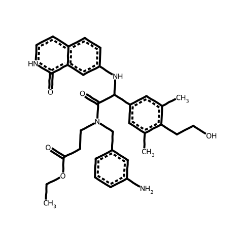 CCOC(=O)CCN(Cc1cccc(N)c1)C(=O)C(Nc1ccc2cc[nH]c(=O)c2c1)c1cc(C)c(CCO)c(C)c1